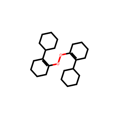 C1CCC(C2=C(OOC3=C(C4CCCCC4)CCCC3)CCCC2)CC1